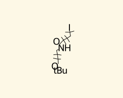 CC(C)(I)CC(C)(C)C(C)(C)C(=O)NCC(C)(C)C(C)(C)COC(C)(C)C